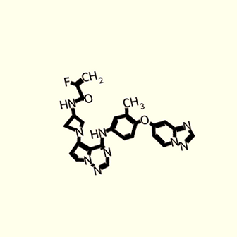 C=C(F)C(=O)NC1CN(c2ccn3ncnc(Nc4ccc(Oc5ccn6ncnc6c5)c(C)c4)c23)C1